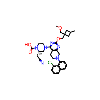 COCC1(COc2nc3c(c(N4CCN(C(=O)O)[C@@H](CC#N)C4)n2)CCN(c2cccc4cccc(Cl)c24)C3)CC(C)C1